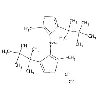 CC1=[C]([Zr+2][C]2=C(C)CC=C2C(C)(C)C(C)(C)C)C(C(C)(C)C(C)(C)C)=CC1.[Cl-].[Cl-]